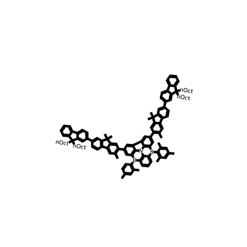 CCCCCCCCC1(CCCCCCCC)c2ccccc2-c2ccc(-c3ccc4c(c3)C(C)(C)c3cc(-c5cc6c7c(c5)c5cc(-c8cc9c(cc8C)-c8ccc(-c%10ccc%11c(c%10)C(CCCCCCCC)(CCCCCCCC)c%10ccccc%10-%11)cc8C9(C)C)cc8c5n7-c5c(cccc5B8c5c(C)cc(C)cc5C)B6c5ccc(C)cc5C)c(C)cc3-4)cc21